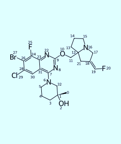 C[C@@]1(O)CCCN(c2nc(OCC34CCCN3C/C(=C\F)C4)nc3c(F)c(Br)c(Cl)cc23)C1